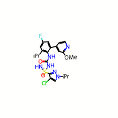 COc1cc(-c2cc(F)cc(C(C)C)c2NC(=O)NS(=N)(=O)c2nn(C(C)C)cc2Cl)ccn1